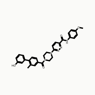 COc1ccc(NC(=O)c2ccc(N3CCN(C(=O)c4ccc(-c5cccc(O)c5)c(C)c4)CC3)nn2)cc1